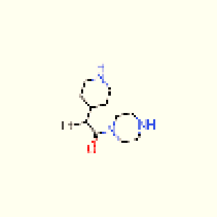 CCC(C(=O)N1CCNCC1)C1CCNCC1